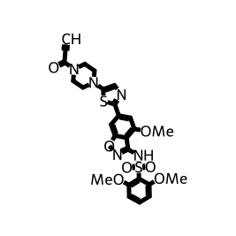 C#CC(=O)N1CCN(c2cnc(-c3cc(OC)c4c(NS(=O)(=O)c5c(OC)cccc5OC)noc4c3)s2)CC1